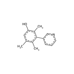 Cc1cc(O)c(C)c(-c2cccnc2)c1C